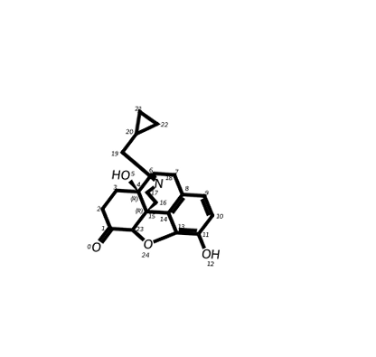 O=C1CC[C@]2(O)C3Cc4ccc(O)c5c4[C@]2(CCN3CC2CC2)C1O5